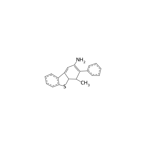 CC1C(c2ccccc2)=C(N)C=C2c3ccccc3SC21